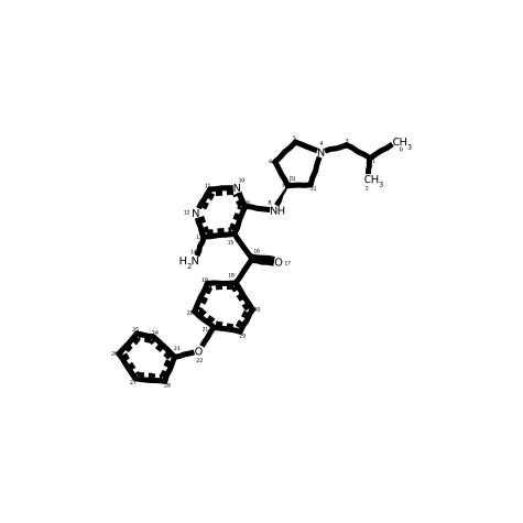 C[C](C)CN1CC[C@H](Nc2ncnc(N)c2C(=O)c2ccc(Oc3ccccc3)cc2)C1